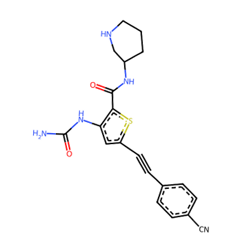 N#Cc1ccc(C#Cc2cc(NC(N)=O)c(C(=O)NC3CCCNC3)s2)cc1